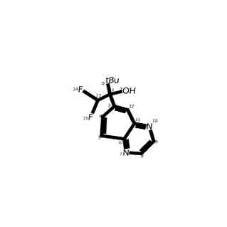 CC(C)(C)C(O)(c1ccc2nccnc2c1)C(F)F